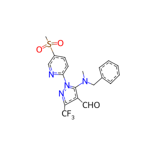 CN(Cc1ccccc1)c1c(C=O)c(C(F)(F)F)nn1-c1ccc(S(C)(=O)=O)cn1